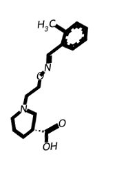 Cc1ccccc1C=NOCCN1CCC[C@@H](C(=O)O)C1